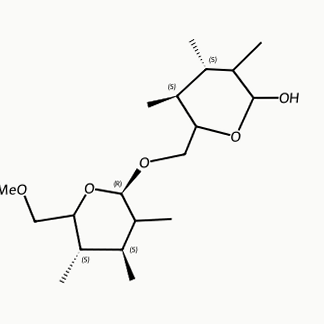 COCC1O[C@@H](OCC2OC(O)C(C)[C@@H](C)[C@@H]2C)C(C)[C@@H](C)[C@@H]1C